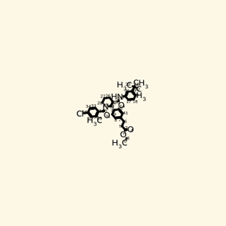 CCOC(=O)CCC1=CCC([C@H]2[C@@H](C(=O)Nc3cccc(C(C)(C)C)c3)CCCN2C(=O)c2ccc(Cl)cc2C)C=C1